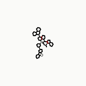 C=C(/C=C(\C(=C/C)c1ccccc1)N(c1ccc(-c2cc3ccccc3c3ccccc23)cc1)c1cccc(-c2ccc3oc4ccccc4c3c2)c1)c1cccc2ccccc12